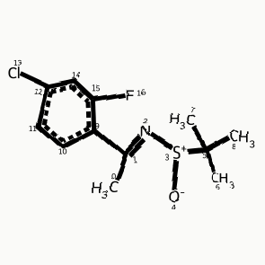 CC(=N[S+]([O-])C(C)(C)C)c1ccc(Cl)cc1F